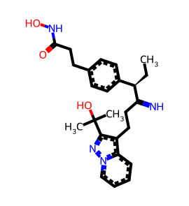 CC[C@@H](C(=N)CCc1c(C(C)(C)O)nn2ccccc12)c1ccc(CCC(=O)NO)cc1